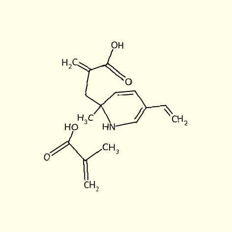 C=C(C)C(=O)O.C=CC1=CNC(C)(CC(=C)C(=O)O)C=C1